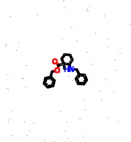 CC1(C(=O)OCc2ccccc2)CCCCC1NCc1ccccc1